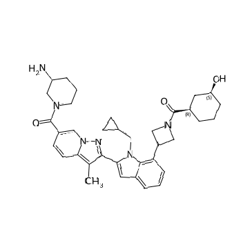 Cc1c(-c2cc3cccc(C4CN(C(=O)[C@@H]5CCC[C@H](O)C5)C4)c3n2CC2CC2)nn2cc(C(=O)N3CCCC(N)C3)ccc12